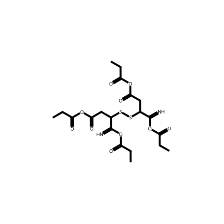 CCC(=O)OC(=N)C(CC(=O)OC(=O)CC)SSC(CC(=O)OC(=O)CC)C(=N)OC(=O)CC